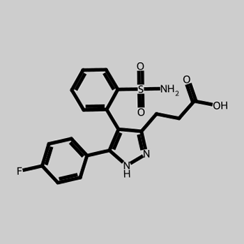 NS(=O)(=O)c1ccccc1-c1c(CCC(=O)O)n[nH]c1-c1ccc(F)cc1